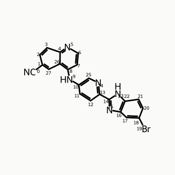 N#Cc1ccc2nccc(Nc3ccc(-c4nc5cc(Br)ccc5[nH]4)nc3)c2c1